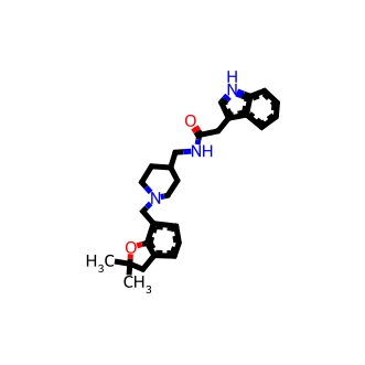 CC1(C)Cc2cccc(CN3CCC(CNC(=O)Cc4c[nH]c5ccccc45)CC3)c2O1